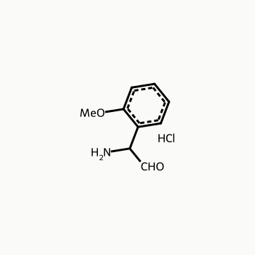 COc1ccccc1C(N)C=O.Cl